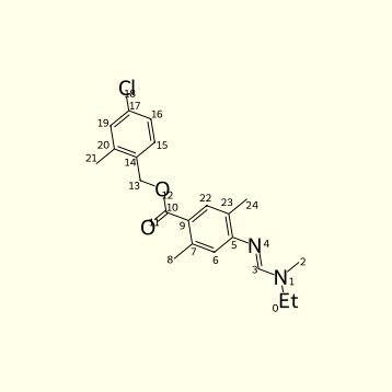 CCN(C)/C=N/c1cc(C)c(C(=O)OCc2ccc(Cl)cc2C)cc1C